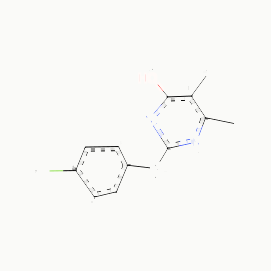 Cc1nc([AsH]c2ccc(F)cc2)nc(O)c1C